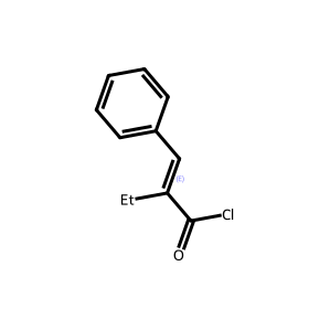 CC/C(=C\c1ccccc1)C(=O)Cl